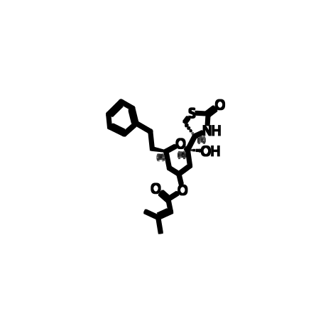 CC(C)=CC(=O)OC1C[C@@H](CCc2ccccc2)O[C@@](O)([C@@H]2CSC(=O)N2)C1